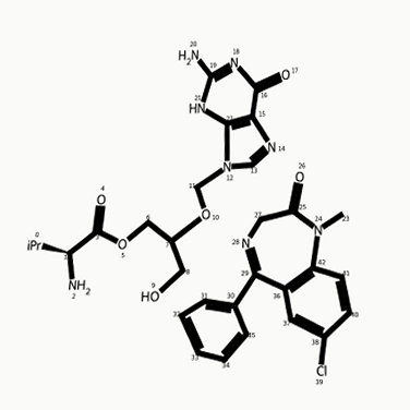 CC(C)[C@H](N)C(=O)OCC(CO)OCn1cnc2c(=O)nc(N)[nH]c21.CN1C(=O)CN=C(c2ccccc2)c2cc(Cl)ccc21